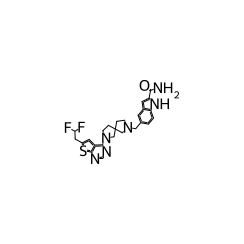 NC(=O)c1cc2cc(CN3CCC4(CCN(c5ncnc6sc(CC(F)F)cc56)C4)C3)ccc2[nH]1